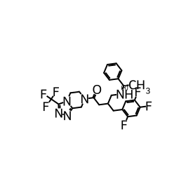 C[C@@H](NCC(CC(=O)N1CCn2c(nnc2C(F)(F)F)C1)Cc1cc(F)c(F)cc1F)c1ccccc1